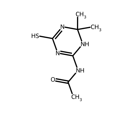 CC(=O)NC1=NC(S)=NC(C)(C)N1